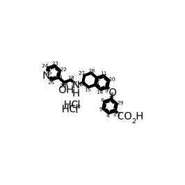 Cl.Cl.O=C(O)c1cccc(Oc2ccc3c(c2)C[C@@H](NC[C@@H](O)c2cccnc2)CC3)c1